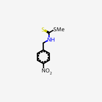 CSC(=S)NCc1ccc([N+](=O)[O-])cc1